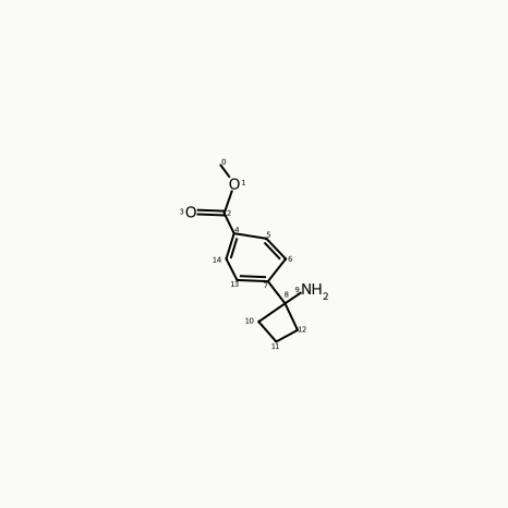 COC(=O)c1ccc(C2(N)CCC2)cc1